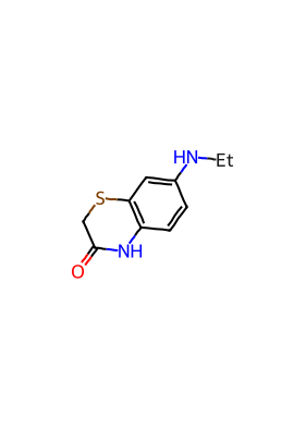 CCNc1ccc2c(c1)SCC(=O)N2